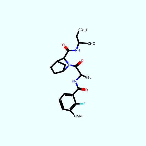 COc1cccc(C(=O)NC(C(=O)N2C3CCC(C3)C2C(=O)NC(C=O)CC(=O)O)C(C)(C)C)c1F